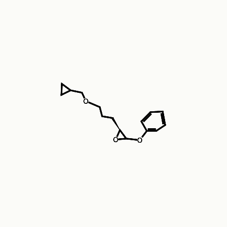 c1ccc(OC2O[C@H]2CCCOCC2CC2)cc1